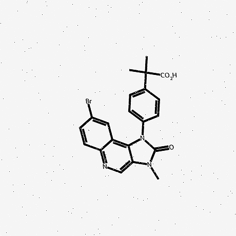 Cn1c(=O)n(-c2ccc(C(C)(C)C(=O)O)cc2)c2c3cc(Br)ccc3ncc21